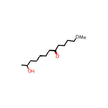 COCCCCC(=O)CCCCCC(C)O